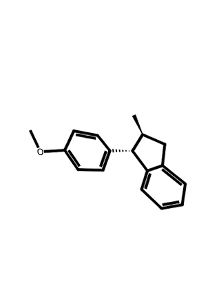 COc1ccc([C@H]2c3ccccc3C[C@@H]2C)cc1